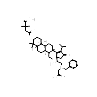 CC(C)C1=C2[C@H]3CC[C@@H]4[C@@]5(C)CC[C@H](OC(=O)CC(C)(C)C(=O)O)C(C)(C)[C@@H]5CC[C@@]4(C)[C@]3(C)CC[C@@]2([C@H](O)CN(CC(=O)O)Cc2ccccc2)CC1=O